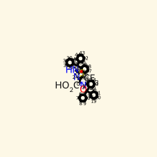 O=C(O)/C(=N\OC(c1ccccc1)(c1ccccc1)c1ccccc1)c1nc(NC(c2ccccc2)(c2ccccc2)c2ccccc2)sc1C(F)(F)F